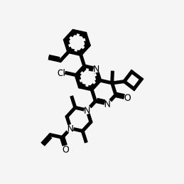 C=CC(=O)N1CC(C)N(C2=NC(=O)C(C)(C3CCC3)c3nc(-c4ccccc4C=C)c(Cl)cc32)CC1C